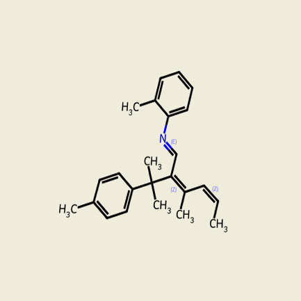 C\C=C/C(C)=C(\C=N\c1ccccc1C)C(C)(C)c1ccc(C)cc1